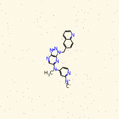 [C-]#[N+]c1cc(N(C)c2cnc3nnn(Cc4ccc5ncccc5c4)c3n2)ccn1